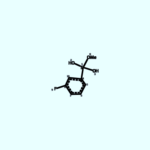 CO[Si](O)(O)c1cccc(F)c1